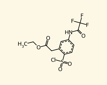 CCOC(=O)Cc1cc(NC(=O)C(F)(F)F)ccc1S(=O)(=O)Cl